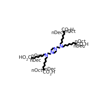 CCCCCCCCCCC(CCCCCCCC)(CCCCCCN(CCCCCCC(CCCCCCCC)(CCCCCCCCCC)C(=O)O)CCN1CCN(CCN(CCCCCCC(CCCCCCCC)(CCCCCCCCCC)C(=O)O)CCCCCCC(CCCCCCCC)(CCCCCCCCCC)C(=O)O)CC1)C(=O)O